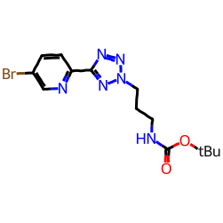 CC(C)(C)OC(=O)NCCCn1nnc(-c2ccc(Br)cn2)n1